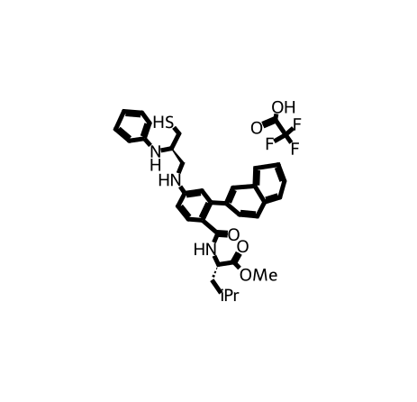 COC(=O)[C@H](CC(C)C)NC(=O)c1ccc(NC[C@H](CS)Nc2ccccc2)cc1-c1ccc2ccccc2c1.O=C(O)C(F)(F)F